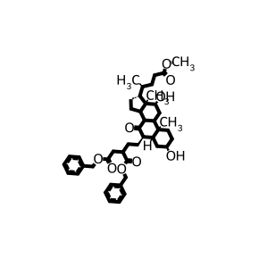 COC(=O)CC[C@@H](C)[C@H]1CCC2C3C(=O)[C@H](CCC(CC(=O)OCc4ccccc4)C(=O)OCc4ccccc4)[C@@H]4C[C@H](O)CC[C@]4(C)C3C[C@H](O)[C@@]21C